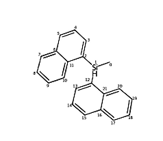 C[SiH](c1cccc2ccccc12)c1cccc2ccccc12